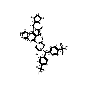 Cc1nc2c(N3C[C@@H](C)N(C(c4ccc(C(F)(F)F)cc4)c4ccc(C(F)(F)F)cc4)C[C@@H]3C)nc3nncn3c2n1CC1CCCO1